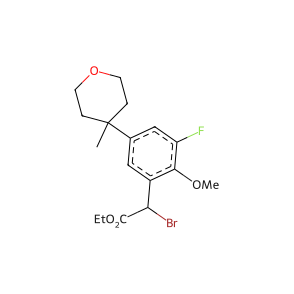 CCOC(=O)C(Br)c1cc(C2(C)CCOCC2)cc(F)c1OC